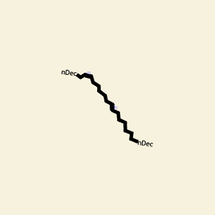 CCCCCCCCCCC/C=C\CCCCC/[C]=C/CCCCCCCCCCCCCCCC